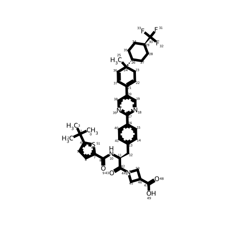 CC(C)(C)c1ccc(C(=O)N[C@@H](Cc2ccc(-c3ncc(C4=CCC(C)([C@H]5CC[C@H](C(F)(F)F)CC5)C=C4)cn3)cc2)C(=O)N2CC(C(=O)O)C2)s1